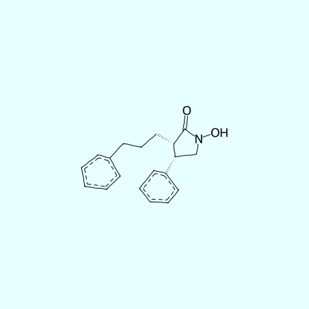 O=C1[C@@H](CCCc2ccccc2)[C@@H](c2ccccc2)CN1O